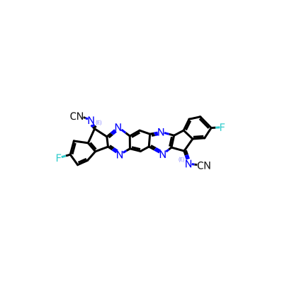 [C-]#[N+]/N=c1\c2cc(F)ccc2c2nc3cc4nc5/c(=N/C#N)c6cc(F)ccc6c5nc4cc3nc12